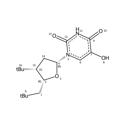 CC(C)(C)C[C@H]1O[C@@H](n2cc(O)c(=O)[nH]c2=O)C[C@H]1C(C)(C)C